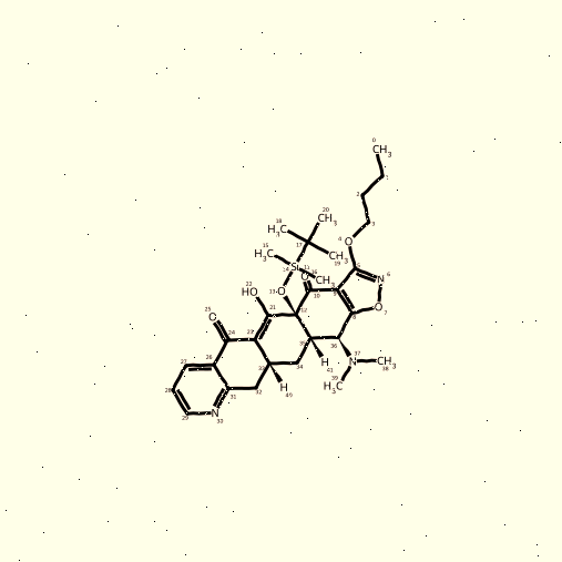 CCCCOc1noc2c1C(=O)[C@@]1(O[Si](C)(C)C(C)(C)C)C(O)=C3C(=O)c4cccnc4C[C@H]3C[C@H]1[C@@H]2N(C)C